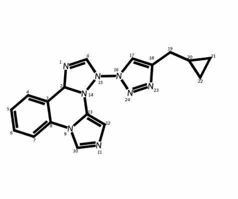 C1=NC2c3ccccc3-n3cncc3N2N1n1cc(CC2CC2)nn1